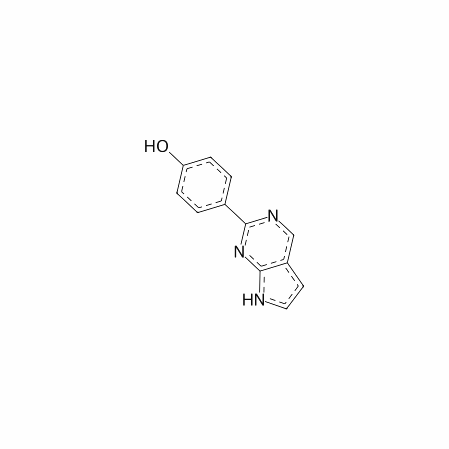 Oc1ccc(-c2ncc3cc[nH]c3n2)cc1